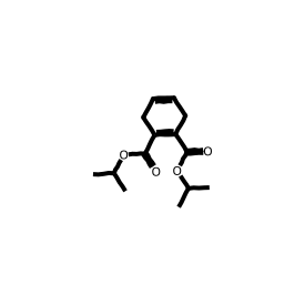 CC(C)OC(=O)C1=C(C(=O)OC(C)C)CC=CC1